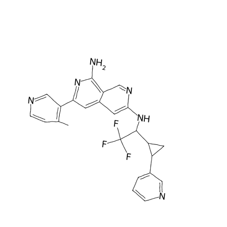 Cc1ccncc1-c1cc2cc(NC(C3CC3c3cccnc3)C(F)(F)F)ncc2c(N)n1